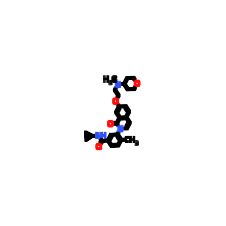 Cc1ccc(C(=O)NC2CC2)cc1-n1ccc2ccc(OCCN(C)C3CCOCC3)cc2c1=O